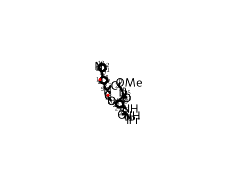 COC1CCN(Cc2ccc(-c3cccnc3)cc2)CCOc2ccc(NC(=O)NC(C)C)cc2C(=O)N(C)C1